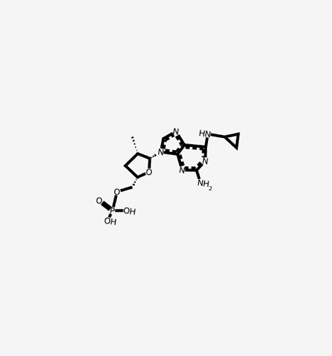 C[C@H]1C[C@@H](COP(=O)(O)O)O[C@H]1n1cnc2c(NC3CC3)nc(N)nc21